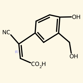 N#C/C(=C/C(=O)O)c1ccc(O)c(CO)c1